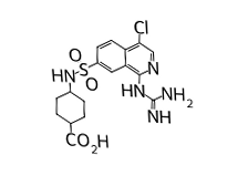 N=C(N)Nc1ncc(Cl)c2ccc(S(=O)(=O)NC3CCC(C(=O)O)CC3)cc12